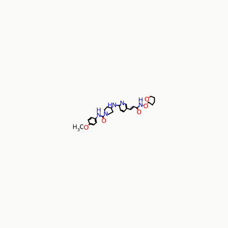 COc1ccc(NC(=O)N2CCC(Nc3ccc(/C=C/C(=O)NOC4CCCCO4)cn3)CC2)cc1